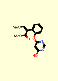 COC=C(C(=O)OC)c1ccccc1Oc1cc(O)ncn1